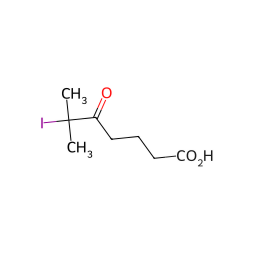 CC(C)(I)C(=O)CCCC(=O)O